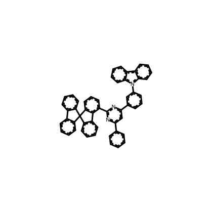 c1ccc(-c2cc(-c3cccc(-n4c5ccccc5c5ccccc54)c3)nc(-c3cccc4c3-c3ccccc3C43c4ccccc4-c4ccccc43)n2)cc1